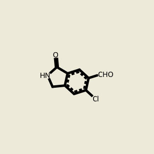 O=Cc1cc2c(cc1Cl)CNC2=O